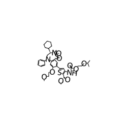 COCCOc1cc2c(cc1-c1cc(NC(=O)OCCOC(C)C)c(C(=O)OC)s1)S(=O)(=O)N(C)[C@H](C1CCCCC1)CN2c1ccccc1